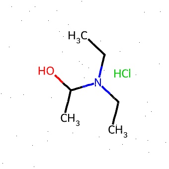 CCN(CC)C(C)O.Cl